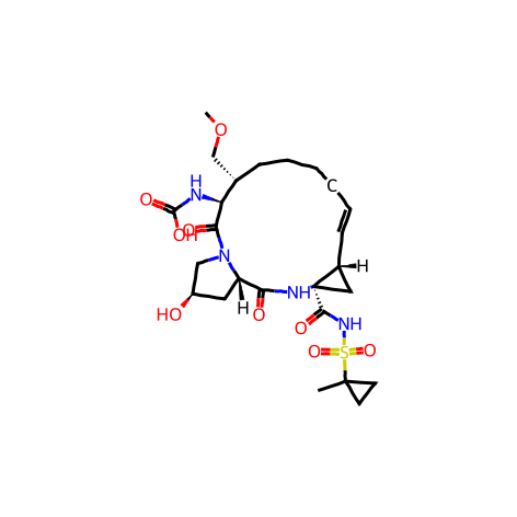 COC[C@@H]1CCCC/C=C\[C@@H]2C[C@@]2(C(=O)NS(=O)(=O)C2(C)CC2)NC(=O)[C@@H]2C[C@@H](O)CN2C(=O)[C@H]1NC(=O)O